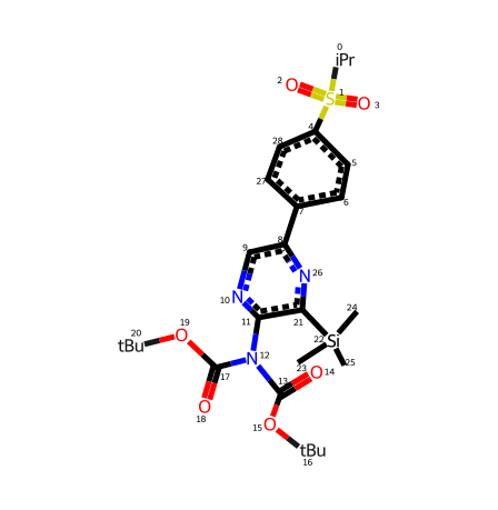 CC(C)S(=O)(=O)c1ccc(-c2cnc(N(C(=O)OC(C)(C)C)C(=O)OC(C)(C)C)c([Si](C)(C)C)n2)cc1